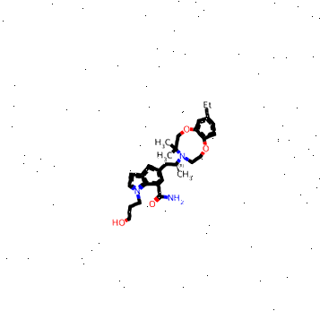 CCc1ccc2c(c1)OCC(C)(C)N([C@H](C)Cc1cc(C(N)=O)c3c(ccn3CCCO)c1)CCO2